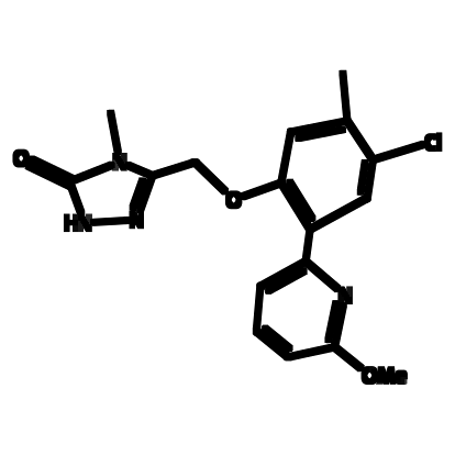 COc1cccc(-c2cc(Cl)c(C)cc2OCc2n[nH]c(=O)n2C)n1